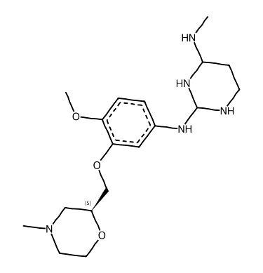 CNC1CCNC(Nc2ccc(OC)c(OC[C@@H]3CN(C)CCO3)c2)N1